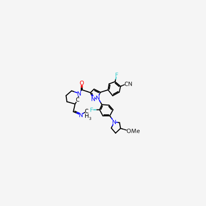 C/N=C\C1CCCN(C(=O)c2cc(-c3ccc(C#N)c(F)c3)n(-c3ccc(N4CCC(OC)C4)cc3F)n2)C1